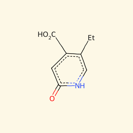 CCc1c[nH]c(=O)cc1C(=O)O